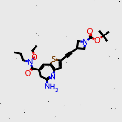 CCCN(OCC)C(=O)C1=Cc2sc(C#CC3CN(C(=O)OC(C)(C)C)C3)cc2N=C(N)C1